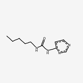 CCCCCNC(=O)Nc1ccncn1